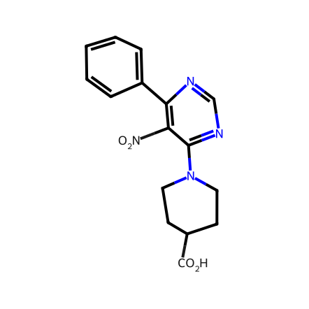 O=C(O)C1CCN(c2ncnc(-c3ccccc3)c2[N+](=O)[O-])CC1